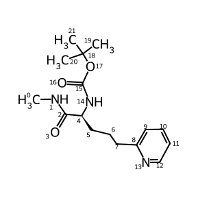 CNC(=O)[C@H](CCCc1ccccn1)NC(=O)OC(C)(C)C